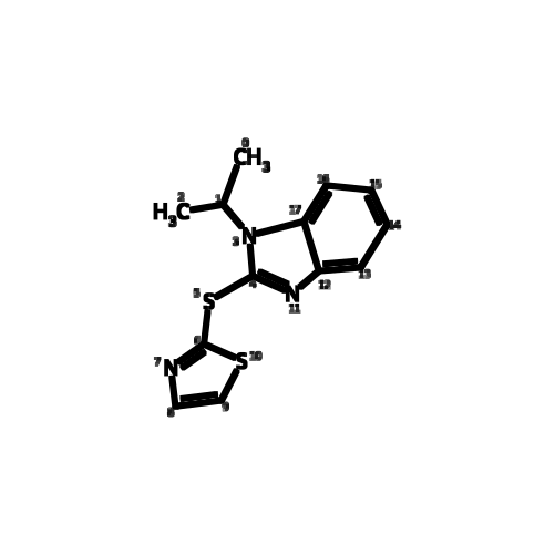 CC(C)n1c(Sc2nccs2)nc2ccccc21